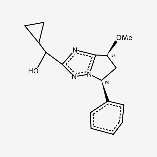 CO[C@H]1C[C@@H](c2ccccc2)n2nc(C(O)C3CC3)nc21